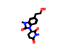 Cn1c(=O)n(C2CCC(=O)NC2=O)c2ccc(CCO)cc21